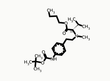 CCCCOC(=O)[C@H](C(C)C)N(C)CCc1ccc(NC(=O)OC(C)(C)C)cc1